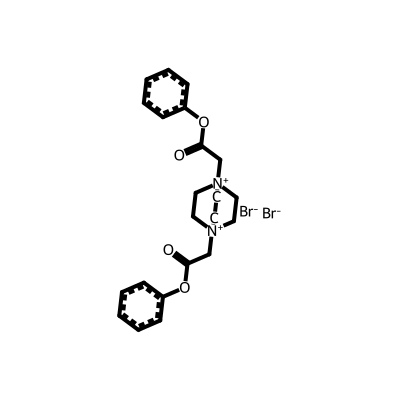 O=C(C[N+]12CC[N+](CC(=O)Oc3ccccc3)(CC1)CC2)Oc1ccccc1.[Br-].[Br-]